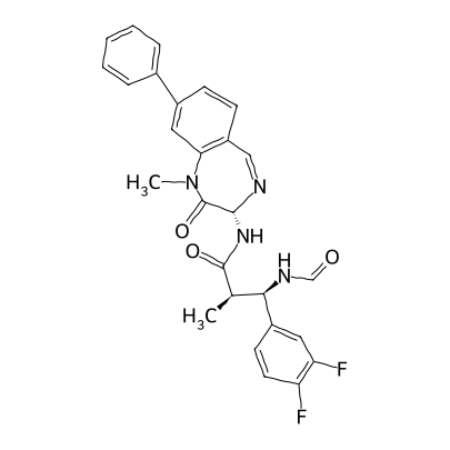 C[C@@H](C(=O)N[C@H]1N=Cc2ccc(-c3ccccc3)cc2N(C)C1=O)[C@@H](NC=O)c1ccc(F)c(F)c1